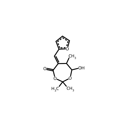 CC1/C(=C\c2ccco2)C(=O)OC(C)(C)OC1O